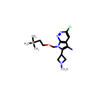 C[Si](C)(C)CCOCn1c(C2CN(C(=O)O)C2)c(I)c2cc(Cl)nnc21